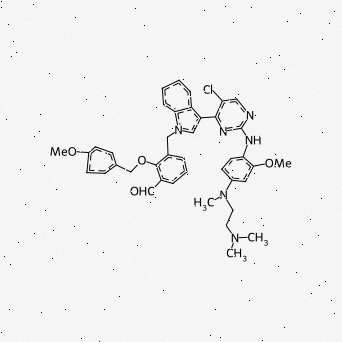 COc1ccc(COc2c(C=O)cccc2Cn2cc(-c3nc(Nc4ccc(N(C)CCN(C)C)cc4OC)ncc3Cl)c3ccccc32)cc1